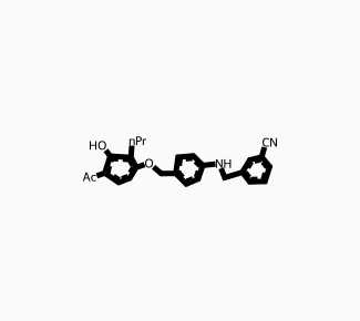 CCCc1c(OCc2ccc(NCc3cccc(C#N)c3)cc2)ccc(C(C)=O)c1O